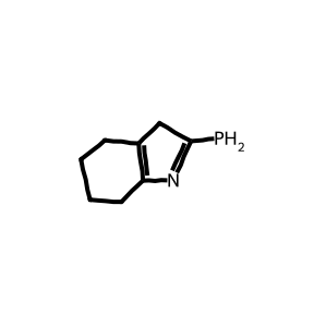 PC1=NC2=C(CCCC2)C1